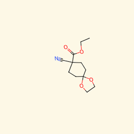 CCOC(=O)C1(C#N)CCC2(CC1)OCCO2